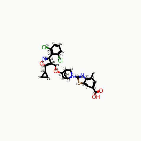 Cc1cc(C(=O)O)cc2sc(N3CC4CC3CC4OCc3c(-c4c(Cl)cccc4Cl)noc3C3CC3)nc12